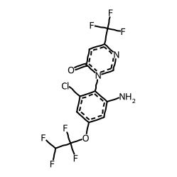 Nc1cc(OC(F)(F)C(F)F)cc(Cl)c1-n1cnc(C(F)(F)F)cc1=O